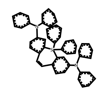 C1=Cc2ccc(N(c3ccccc3)c3ccccc3)cc2[Si](c2ccccc2)(c2ccccc2)c2cc(N(c3ccccc3)c3ccccc3)ccc21